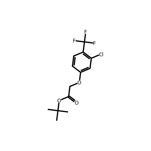 CC(C)(C)OC(=O)COc1ccc(C(F)(F)F)c(Cl)c1